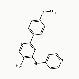 COc1ccc(-c2ncc(C)c(Nc3ccncc3)n2)cc1